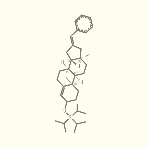 CC(C)[Si](OC1C=C2CC[C@@H]3[C@@H](CC[C@]4(C)CC(=Cc5ccccc5)C[C@@H]34)[C@@]2(C)CC1)(C(C)C)C(C)C